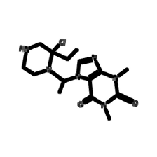 CCC1(Cl)CNCCN1C(C)n1cnc2c1c(=O)n(C)c(=O)n2C